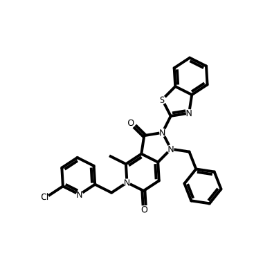 Cc1c2c(=O)n(-c3nc4ccccc4s3)n(Cc3ccccc3)c2cc(=O)n1Cc1cccc(Cl)n1